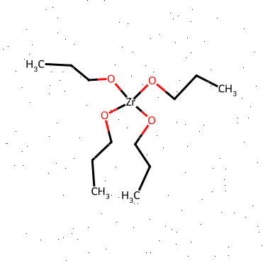 CCC[O][Zr]([O]CCC)([O]CCC)[O]CCC